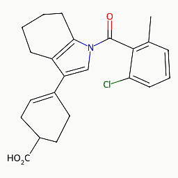 Cc1cccc(Cl)c1C(=O)n1cc(C2=CCC(C(=O)O)CC2)c2c1CCCC2